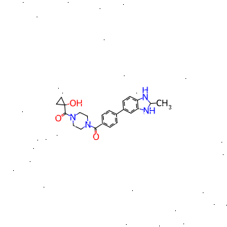 CC1Nc2ccc(-c3ccc(C(=O)N4CCN(C(=O)C5(O)CC5)CC4)cc3)cc2N1